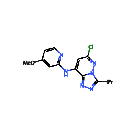 COc1ccnc(Nc2cc(Cl)nn3c(C(C)C)nnc23)c1